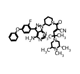 CC1CN(C(C)(C)C=C(C#N)C(=O)N2CCCC(n3nc(-c4ccc(Oc5ccccc5)cc4F)c4c(N)ncnc43)C2)C[C@H](C)N1C